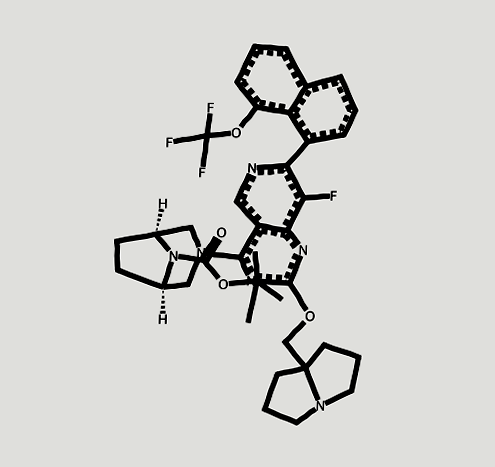 CC(C)(C)OC(=O)N1[C@@H]2CC[C@H]1CN(c1nc(OCC34CCCN3CCC4)nc3c(F)c(-c4cccc5cccc(OC(F)(F)F)c45)ncc13)C2